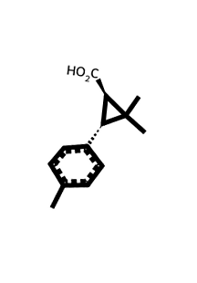 Cc1ccc([C@@H]2[C@@H](C(=O)O)C2(C)C)cc1